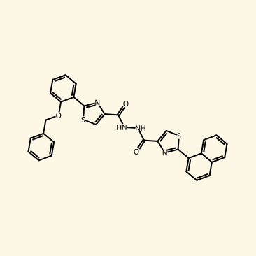 O=C(NNC(=O)c1csc(-c2cccc3ccccc23)n1)c1csc(-c2ccccc2OCc2ccccc2)n1